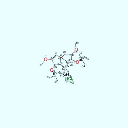 COC1=CC[C]([Zr]([CH3])([CH3])(=[SiH2])[C]2=C(O[Si](C)(C)C)C(OC)=CC2)=C1O[Si](C)(C)C.Cl.Cl